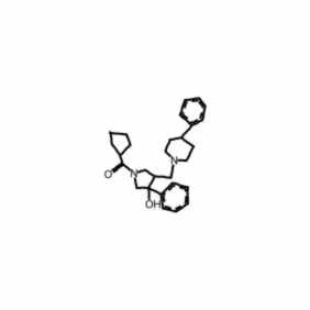 O=C(C1CCCC1)N1CC(CN2CCC(c3ccccc3)CC2)C(O)(c2ccccc2)C1